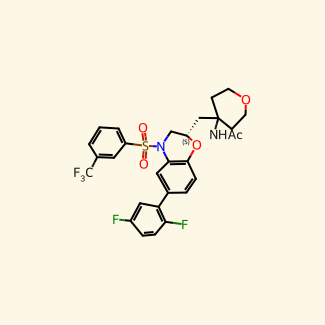 CC(=O)NC1(C[C@H]2CN(S(=O)(=O)c3cccc(C(F)(F)F)c3)c3cc(-c4cc(F)ccc4F)ccc3O2)CCOCC1